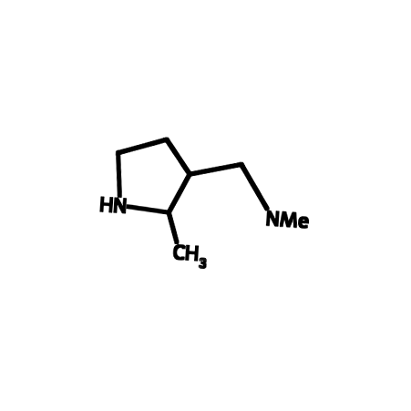 CNCC1CCNC1C